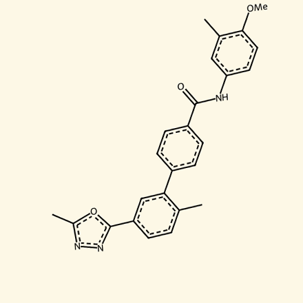 COc1ccc(NC(=O)c2ccc(-c3cc(-c4nnc(C)o4)ccc3C)cc2)cc1C